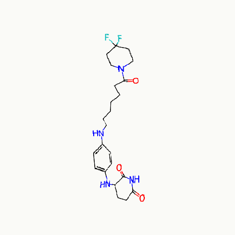 O=C1CCC(Nc2ccc(NCCCCCCC(=O)N3CCC(F)(F)CC3)cc2)C(=O)N1